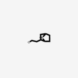 [O]CCC1CC2CCC1N2